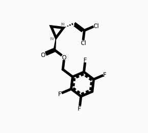 O=C(OCc1c(F)c(F)cc(F)c1F)[C@H]1C[C@@H]1C=C(Cl)Cl